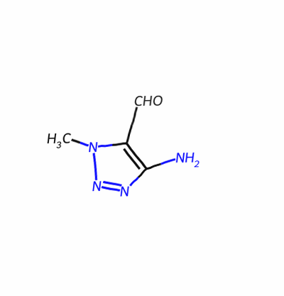 Cn1nnc(N)c1C=O